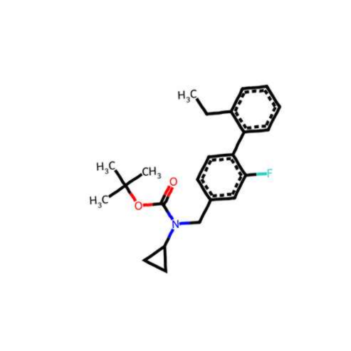 CCc1ccccc1-c1ccc(CN(C(=O)OC(C)(C)C)C2CC2)cc1F